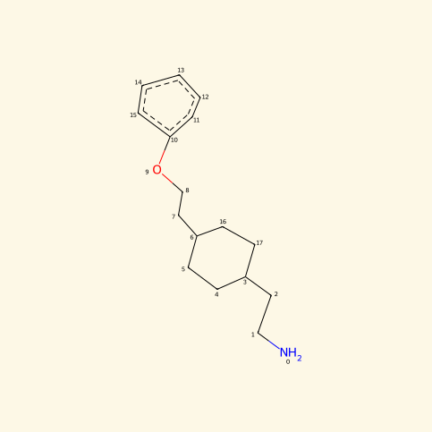 NCCC1CCC(CCOc2ccccc2)CC1